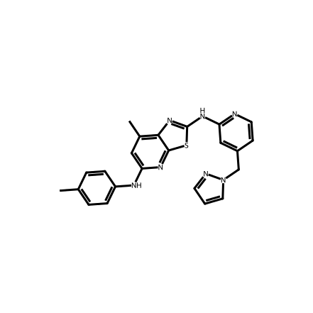 Cc1ccc(Nc2cc(C)c3nc(Nc4cc(Cn5cccn5)ccn4)sc3n2)cc1